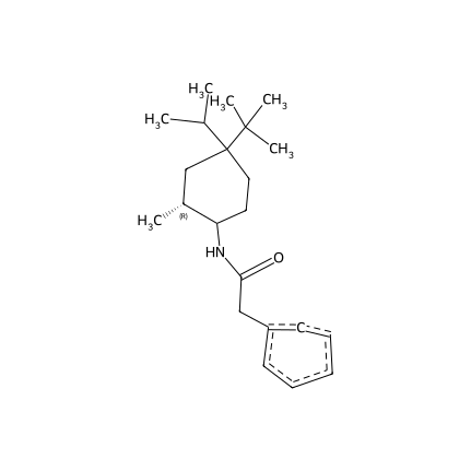 CC(C)C1(C(C)(C)C)CCC(NC(=O)Cc2ccccc2)[C@H](C)C1